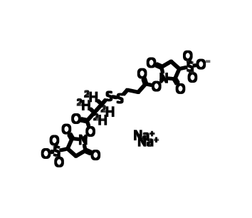 [2H]C([2H])(SSCCC(=O)ON1C(=O)CC(S(=O)(=O)[O-])C1=O)C([2H])([2H])C(=O)ON1C(=O)CC(S(=O)(=O)[O-])C1=O.[Na+].[Na+]